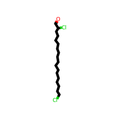 O=CC(Cl)CCCCCCCCCCCCCCCCCl